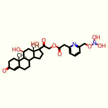 C[C@]12CCC(=O)C=C1CCC1C2[C@@H](O)C[C@@]2(C)C1CC[C@]2(O)C(=O)COC(=O)Cc1cccc(CON(O)O)n1